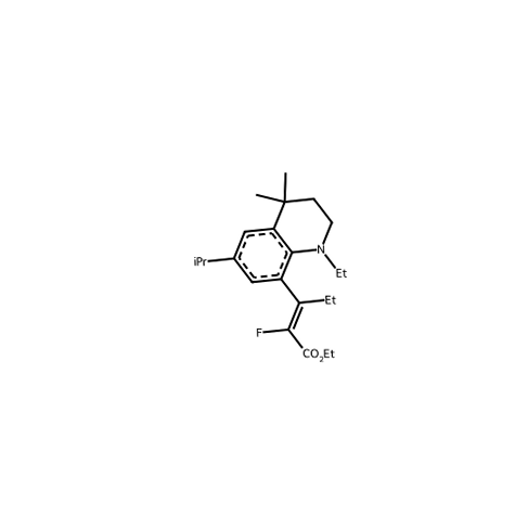 CCOC(=O)C(F)=C(CC)c1cc(C(C)C)cc2c1N(CC)CCC2(C)C